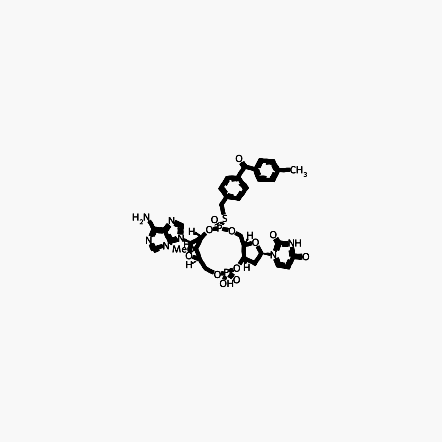 CO[C@H]1[C@H]2OP(=O)(SCc3ccc(C(=O)c4ccc(C)cc4)cc3)OC[C@H]3O[C@@H](n4ccc(=O)[nH]c4=O)C[C@@H]3OP(=O)(O)OC[C@H]1O[C@H]2n1cnc2c(N)ncnc21